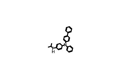 CC(C)PC1=CCC(N(c2ccccc2)c2ccc(-c3ccccc3)cc2)C=C1